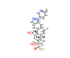 CC1=C[C@@H]2[C@H]([C@@H](O)C[C@@]3(C)[C@H]2CC[C@]3(O)C(=O)S)[C@@]2(C)Cc3cnn(-c4ccc(F)nc4)c3C=C12